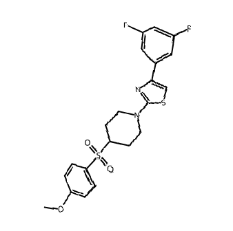 COc1ccc(S(=O)(=O)C2CCN(c3nc(-c4cc(F)cc(F)c4)cs3)CC2)cc1